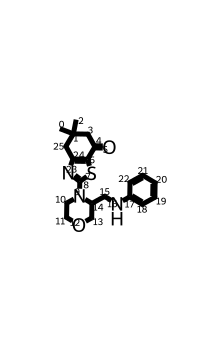 CC1(C)CC(=O)c2sc(N3CCOCC3CNc3ccccc3)nc2C1